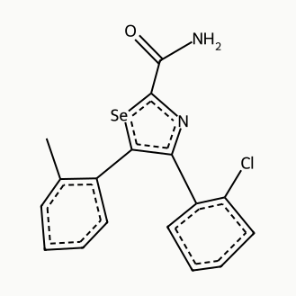 Cc1ccccc1-c1[se]c(C(N)=O)nc1-c1ccccc1Cl